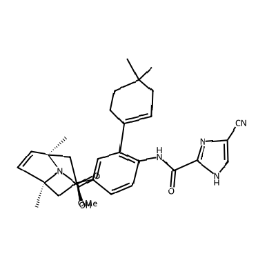 COC(=O)N1[C@@]2(C)C=C[C@]1(C)C[C@@](O)(c1ccc(NC(=O)c3nc(C#N)c[nH]3)c(C3=CCC(C)(C)CC3)c1)C2